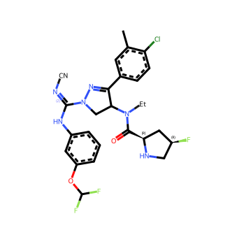 CCN(C(=O)[C@H]1C[C@@H](F)CN1)C1CN(/C(=N\C#N)Nc2cccc(OC(F)F)c2)N=C1c1ccc(Cl)c(C)c1